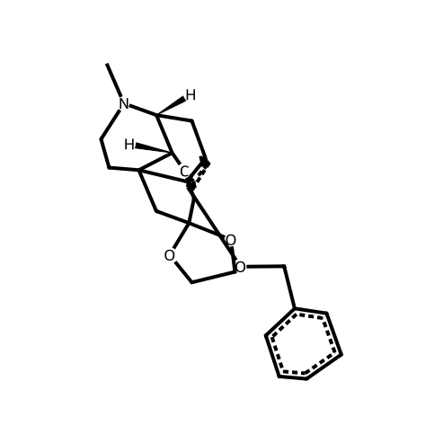 CN1CCC23CC4(CC[C@H]2[C@H]1Cc1ccc(OCc2ccccc2)cc13)OCCO4